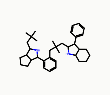 CC(C)(C)CC1NC(c2ccccc2CC(C)(C)CC2NC3CCCCC3C2c2ccccc2)C2CCCC12